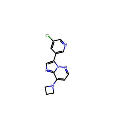 Clc1cncc(-c2[c]nc3c(N4CCC4)ccnn23)c1